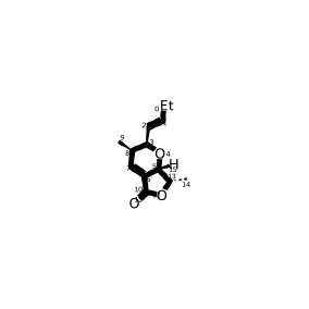 CC/C=C/[C@H]1O[C@H]2C(=C[C@H]1C)C(=O)O[C@H]2C